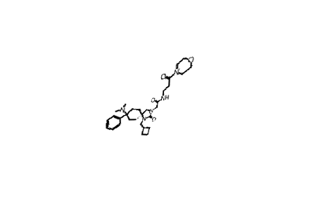 CN(C)[C@]1(c2ccccc2)CC[C@]2(CC1)CN(CC(=O)NCCC(=O)N1CCOCC1)C(=O)N2CC1CCC1